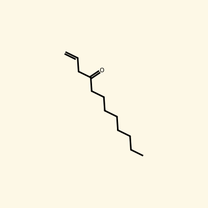 C=CCC(=O)CCCCCCCC